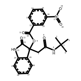 CC(C)(C)NC(=O)CC1(OC(=O)c2cccc([N+](=O)[O-])c2)C(=O)Nc2ccccc21